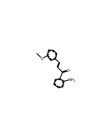 COc1cccc(/C=C/C(=O)c2ccccc2N)c1